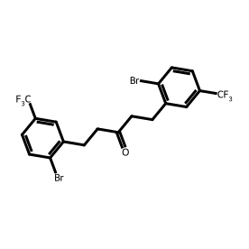 O=C(CCc1cc(C(F)(F)F)ccc1Br)CCc1cc(C(F)(F)F)ccc1Br